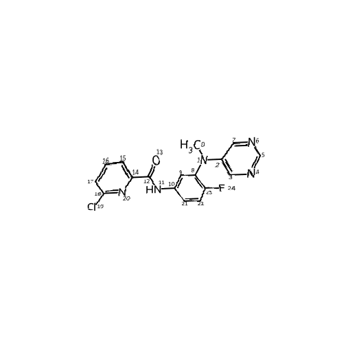 CN(c1cncnc1)c1cc(NC(=O)c2cccc(Cl)n2)ccc1F